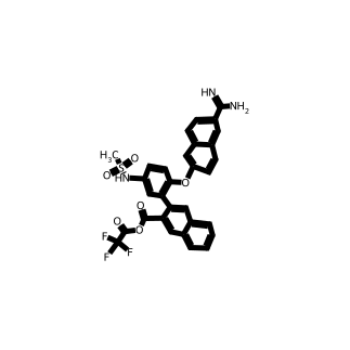 CS(=O)(=O)Nc1ccc(Oc2ccc3cc(C(=N)N)ccc3c2)c(-c2cc3ccccc3cc2C(=O)OC(=O)C(F)(F)F)c1